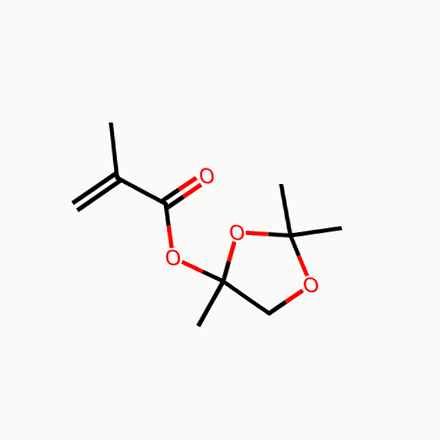 C=C(C)C(=O)OC1(C)COC(C)(C)O1